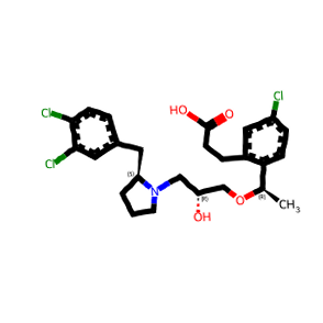 C[C@@H](OC[C@H](O)CN1CCC[C@H]1Cc1ccc(Cl)c(Cl)c1)c1ccc(Cl)cc1CCC(=O)O